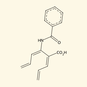 C=C/C=C(NC(=O)c1ccccc1)\C(=C/C=C)C(=O)O